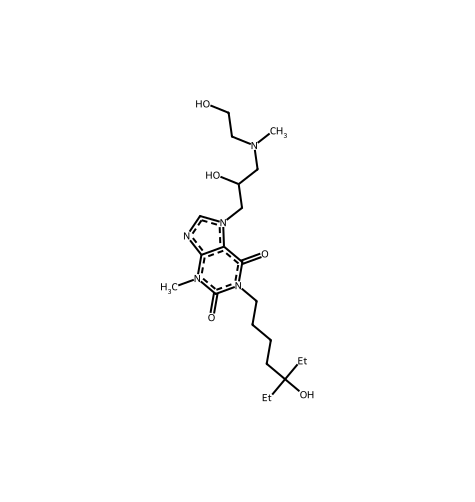 CCC(O)(CC)CCCCn1c(=O)c2c(ncn2CC(O)CN(C)CCO)n(C)c1=O